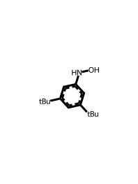 CC(C)(C)c1cc(NO)cc(C(C)(C)C)c1